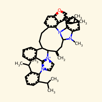 C=C1CC2N(C)c3cccc4c3N2c2c(ccc3oc5cccc(c5c23)C4(C)C)CCC2c3ccccc3-c3n(-c4c(C(C)C)cccc4C(C)C)cc[n+]3C12